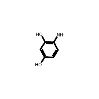 [NH]c1ccc(O)cc1O